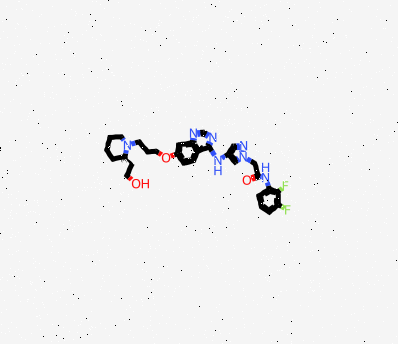 O=C(Cn1cc(Nc2ncnc3cc(OCCCN4CCCC[C@@H]4CCO)ccc23)cn1)Nc1cccc(F)c1F